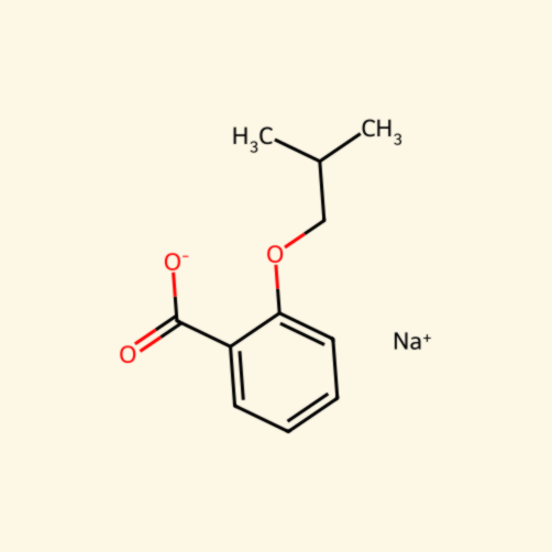 CC(C)COc1ccccc1C(=O)[O-].[Na+]